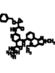 [2H]C([2H])([2H])NC(=O)c1cnc(NC(=O)C2(OCc3ccccc3)CC2)cc1Nc1cccc2c1N(C)Cc1cn(C)nc1-2